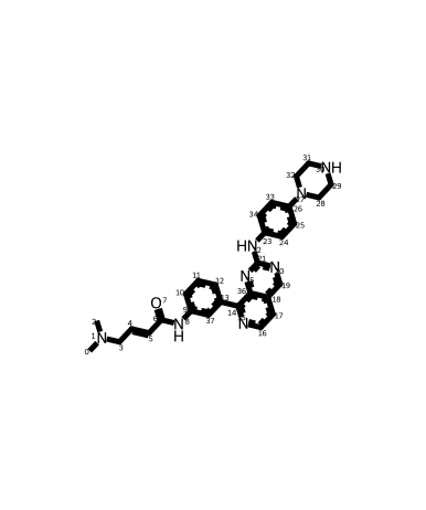 CN(C)C/C=C/C(=O)Nc1cccc(-c2nccc3cnc(Nc4ccc(N5CCNCC5)cc4)nc23)c1